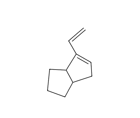 C=CC1=CCC2CCCC12